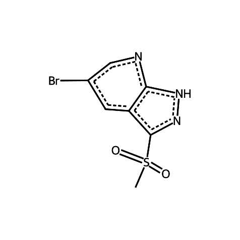 CS(=O)(=O)c1n[nH]c2ncc(Br)cc12